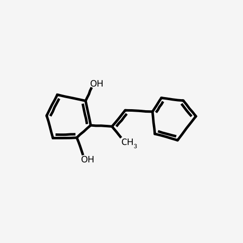 CC(=Cc1ccccc1)c1c(O)cccc1O